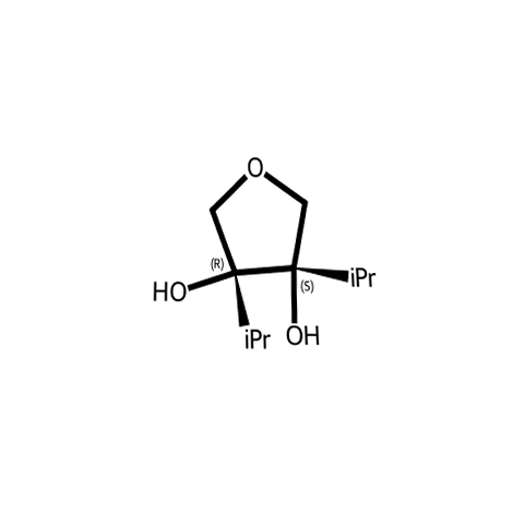 CC(C)[C@]1(O)COC[C@]1(O)C(C)C